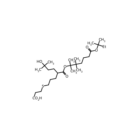 CCC(C)(C)OC(=O)CCCC(C)(C)C(C)(C)OC(=O)C(CCCSCCC(=O)O)CCC(C)(C)O